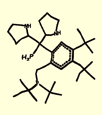 CC(C)(C)c1cc(CP(C(C)(C)C)C(C)(C)C)c(C(P)(C2CCCN2)C2CCCN2)cc1C(C)(C)C